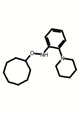 c1ccc(N2CCCCC2)c(NOC2CCCCCCC2)c1